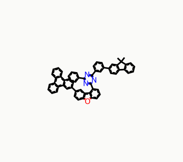 CC1(C)c2ccccc2-c2ccc(-c3cccc(-c4nc(-c5ccccc5)nc(-c5cccc6oc7ccc(-c8ccc9c%10ccccc%10c%10ccccc%10c9c8)cc7c56)n4)c3)cc21